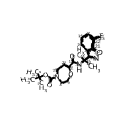 CC(C)(C)OC(=O)N1CCOC(C(=O)NC(C)(C)c2noc3c(F)cccc23)CC1